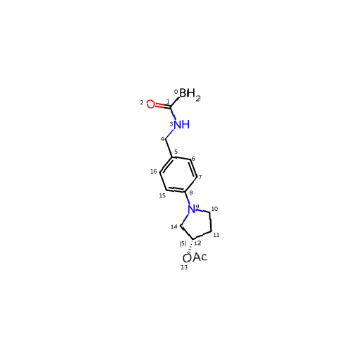 BC(=O)NCc1ccc(N2CC[C@H](OC(C)=O)C2)cc1